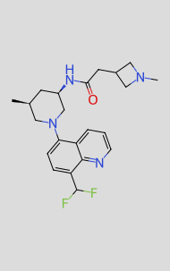 C[C@H]1C[C@@H](NC(=O)CC2CN(C)C2)CN(c2ccc(C(F)F)c3ncccc23)C1